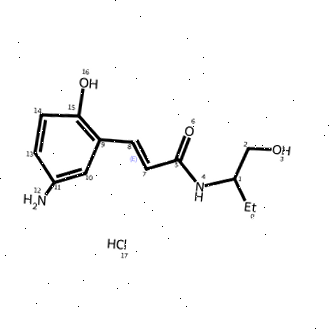 CCC(CO)NC(=O)/C=C/c1cc(N)ccc1O.Cl